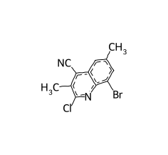 Cc1cc(Br)c2nc(Cl)c(C)c(C#N)c2c1